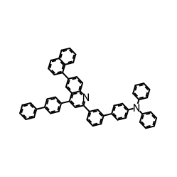 c1ccc(-c2ccc(-c3cc(-c4cccc(-c5ccc(N(c6ccccc6)c6ccccc6)cc5)c4)nc4ccc(-c5cccc6ccccc56)cc34)cc2)cc1